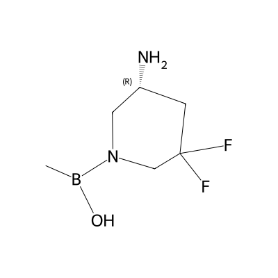 CB(O)N1C[C@H](N)CC(F)(F)C1